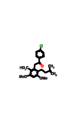 C=C(C)CCc1c(OC)cc(OC)c(C(=O)O)c1CC(=O)c1ccc(Cl)cc1